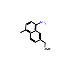 COCc1ccc2c(C)ccc(N)c2c1